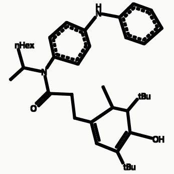 CCCCCCC(C)N(C(=O)CCC1=CC(C(C)(C)C)=C(O)C(C(C)(C)C)C1C)c1ccc(Nc2ccccc2)cc1